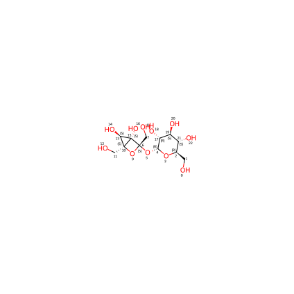 OC[C@H]1O[C@H](O[C@]2(CO)O[C@@]3(CO)[C@@H](O)[C@@]23O)[C@H](O)[C@@H](O)[C@@H]1O